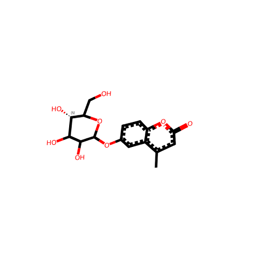 Cc1cc(=O)oc2ccc(OC3OC(CO)[C@@H](O)C(O)C3O)cc12